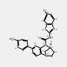 Cc1ccc(-c2ccc3c(n2)N(C(=O)Nc2nc4ccc(F)cc4s2)[C@H]2CCN3C2)cn1